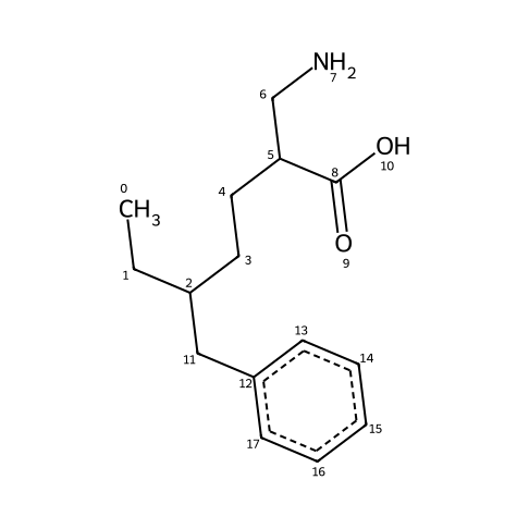 CCC(CCC(CN)C(=O)O)Cc1ccccc1